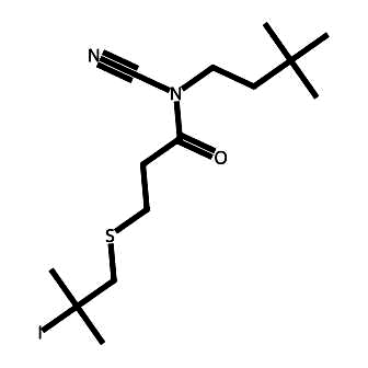 CC(C)(C)CCN(C#N)C(=O)CCSCC(C)(C)I